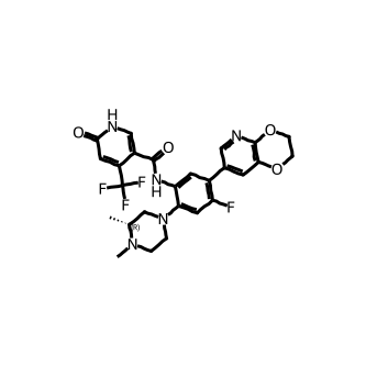 C[C@@H]1CN(c2cc(F)c(-c3cnc4c(c3)OCCO4)cc2NC(=O)c2c[nH]c(=O)cc2C(F)(F)F)CCN1C